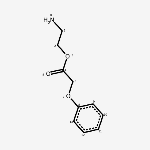 NCCOC(=O)COc1ccccc1